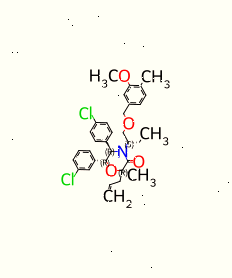 C=CC[C@@]1(C)O[C@H](c2cccc(Cl)c2)[C@@H](c2ccc(Cl)cc2)N([C@@H](CC)COCc2ccc(C)c(OC)c2)C1=O